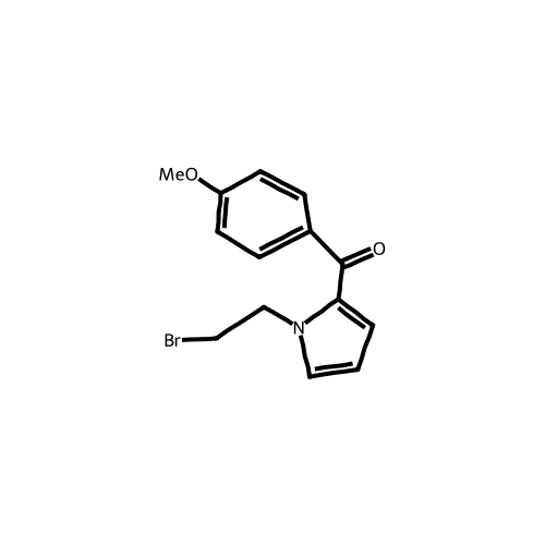 COc1ccc(C(=O)c2cccn2CCBr)cc1